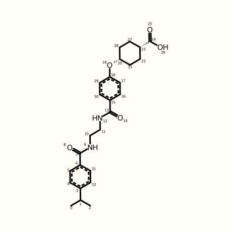 CC(C)c1ccc(C(=O)NCCNC(=O)c2ccc(O[C@H]3CC[C@@H](C(=O)O)CC3)cc2)cc1